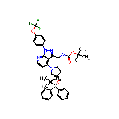 CC(C)(C)OC(=O)NCc1nn(-c2ccc(OC(F)(F)F)cc2)c2nccc(N3CC[C@H](O[Si](c4ccccc4)(c4ccccc4)C(C)(C)C)C3)c12